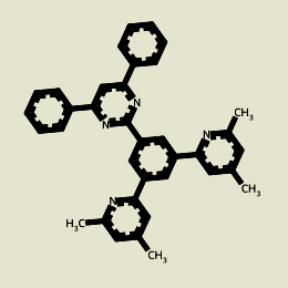 Cc1cc(C)nc(-c2cc(-c3cc(C)cc(C)n3)cc(-c3nc(-c4ccccc4)cc(-c4ccccc4)n3)c2)c1